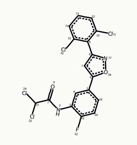 O=C(Nc1cc(-c2cc(-c3c(Cl)cccc3Cl)no2)ccc1F)C(Cl)Cl